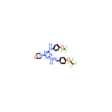 FC(F)C(F)(F)Oc1ccc(/C=N/Nc2nc(Nc3ccc(OC(F)(F)F)cc3)nc(N3CCOCC3)n2)cc1